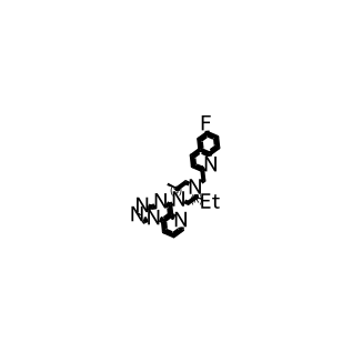 CC[C@@H]1CN(c2nc3nncn3c3cccnc23)[C@@H](C)CN1Cc1ccc2cc(F)ccc2n1